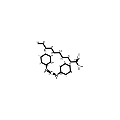 C(=NC1CCCCC1)=NC1CCCCC1.CCCCCCCCCC(=O)O